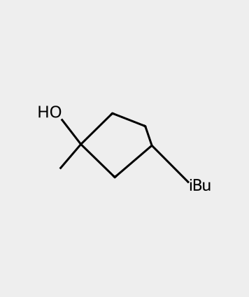 CCC(C)C1CCC(C)(O)C1